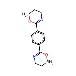 c1cc(C2=NCC[SiH2]O2)ccc1C1=NCC[SiH2]O1